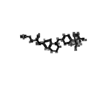 CCOC(=O)Nc1ccc2c(c1)CCCN2Cc1ccc(C(O)(C(F)(F)F)C(F)(F)F)cc1